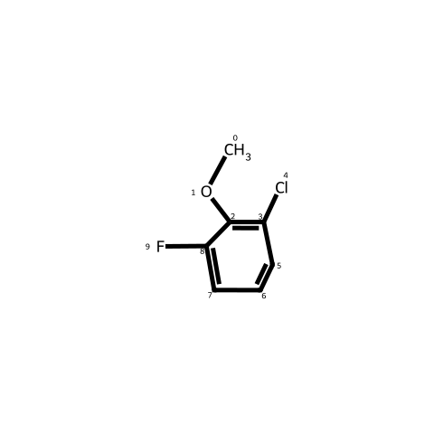 COc1c(Cl)[c]ccc1F